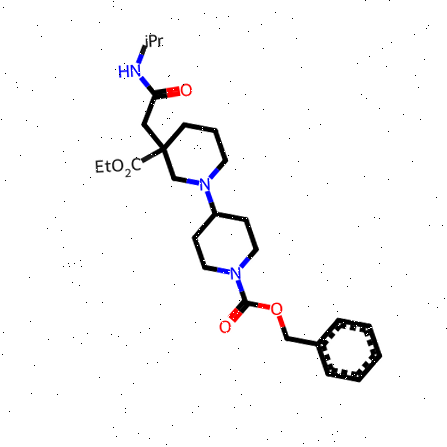 CCOC(=O)C1(CC(=O)NC(C)C)CCCN(C2CCN(C(=O)OCc3ccccc3)CC2)C1